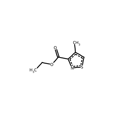 CCOC(=O)c1nscc1C